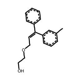 Cc1cccc(/C(=C\COCCO)c2ccccc2)c1